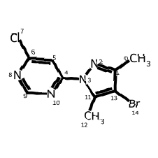 Cc1nn(-c2cc(Cl)ncn2)c(C)c1Br